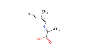 C=C/C(C)=C\N=C(/C)C(=O)O